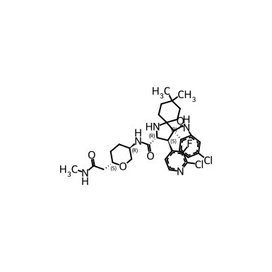 CNC(=O)C[C@@H]1CC[C@@H](NC(=O)[C@@H]2NC3(CCC(C)(C)CC3)[C@@]3(C(=O)Nc4cc(Cl)ccc43)[C@H]2c2ccnc(Cl)c2F)CO1